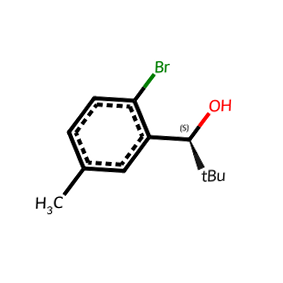 Cc1ccc(Br)c([C@@H](O)C(C)(C)C)c1